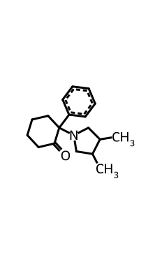 CC1CN(C2(c3ccccc3)CCCCC2=O)CC1C